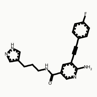 Nc1ncc(C(=O)NCCCc2cn[nH]c2)cc1C#Cc1ccc(F)cc1